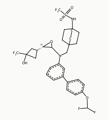 O=S(=O)(NC12CCC(CN(c3cccc(-c4ccc(OC(F)F)cc4)c3)C3O[C@H]3C3CC(O)(C(F)(F)F)C3)(CC1)CC2)C(F)(F)F